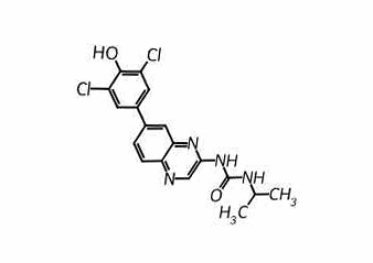 CC(C)NC(=O)Nc1cnc2ccc(-c3cc(Cl)c(O)c(Cl)c3)cc2n1